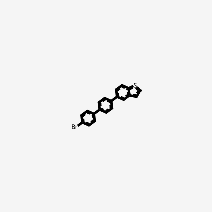 Brc1ccc(-c2ccc(-c3ccc4sccc4c3)cc2)cc1